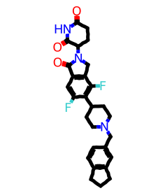 O=C1CCC(N2Cc3c(cc(F)c(C4CCN(Cc5ccc6c(c5)CCC6)CC4)c3F)C2=O)C(=O)N1